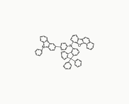 c1ccc(-n2c3ccccc3c3cc(-c4ccc(N(c5cccc6c5-c5ccccc5C6(c5ccccc5)c5ccccc5)c5cccc6c5oc5c7ccccc7ccc65)cc4)ccc32)cc1